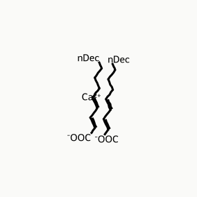 CCCCCCCCCCCCCC=CC=CC(=O)[O-].CCCCCCCCCCCCCC=CC=CC(=O)[O-].[Ca+2]